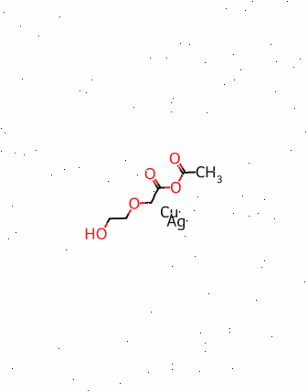 CC(=O)OC(=O)COCCO.[Ag].[Cu]